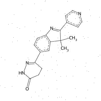 CC1(C)C(c2ccncc2)=Nc2ccc(C3=NNC(=O)CC3)cc21